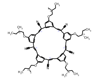 CC[C@H](C)COc1cc2cc(c1)/C(C#N)=C/c1cc(OC[C@@H](I)CC)cc(c1)/C(C#N)=C/c1cc(OC[C@@H](C)CC)cc(c1)/C(C#N)=C/c1cc(OC[C@@H](I)CC)cc(c1)/C(C#N)=C/c1cc(OC[C@@H](C)CC)cc(c1)/C(C#N)=C/2